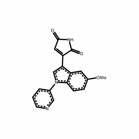 COc1ccc2c(c1)c(C1=CC(=O)NC1=O)cn2-c1cccnc1